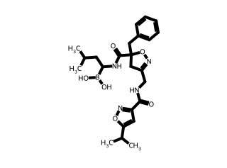 CC(C)CC(NC(=O)C1(Cc2ccccc2)CC(CNC(=O)c2cc(C(C)C)on2)=NO1)B(O)O